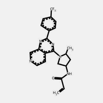 C=CC(=O)NC1CC(C)N(c2nc(-c3ccc(C(F)(F)F)cc3)nc3cnccc23)C1